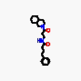 O=C(CCCc1ccccc1)NCCC(=O)N1CCC2CCCC=C2C1